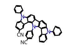 N#Cc1ccc(-n2c3c(ccc4c3c3ccccc3n4-c3ccccc3)c3ccc4c(c5cc(C#N)ccc5n4-c4ccccc4)c32)cc1